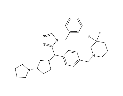 FC1(F)CCCN(Cc2ccc(C(c3nncn3Cc3ccccc3)N3CC[C@H](N4CCCC4)C3)cc2)C1